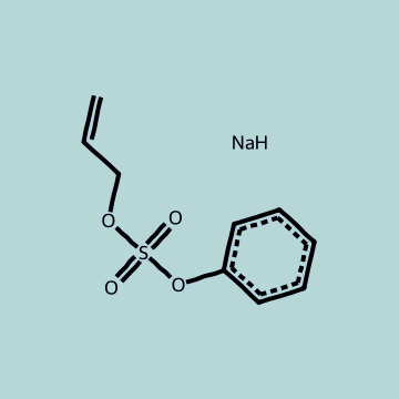 C=CCOS(=O)(=O)Oc1ccccc1.[NaH]